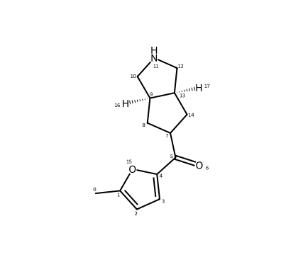 Cc1ccc(C(=O)C2C[C@H]3CNC[C@H]3C2)o1